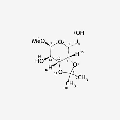 CO[C@H]1O[C@H](CO)[C@@H]2OC(C)(C)O[C@@H]2[C@H]1O